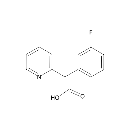 Fc1cccc(Cc2ccccn2)c1.O=CO